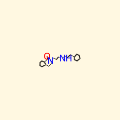 O=C1c2ccccc2CCN1CC=CNCC=Cc1ccccc1